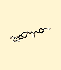 COc1cc2c(cc1OC)CCN(CCCNCCc1ccc(CC(C)C)cc1)CC2